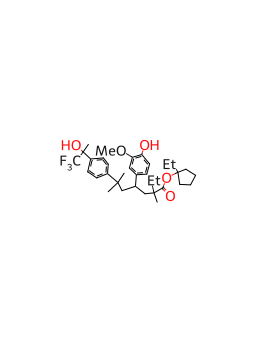 CCC1(OC(=O)C(C)(CC)CC(CC(C)(C)c2ccc(C(C)(O)C(F)(F)F)cc2)c2ccc(O)c(OC)c2)CCCC1